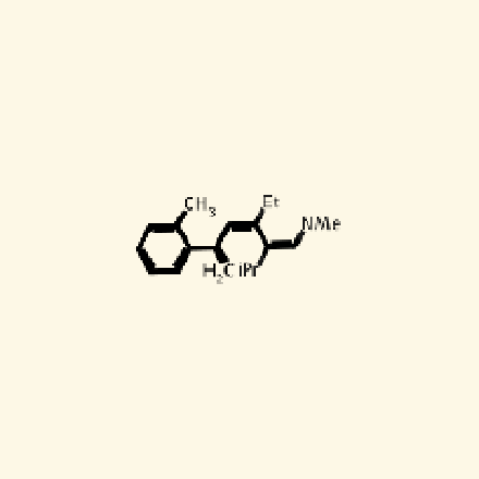 C=C(/C=C(CC)\C(=C/NC)C(C)C)c1ccccc1C